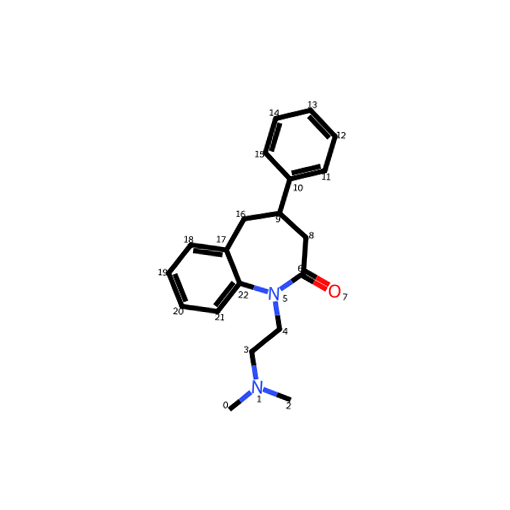 CN(C)CCN1C(=O)CC(c2ccccc2)Cc2ccccc21